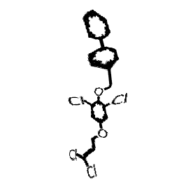 ClC(Cl)=CCOc1cc(Cl)c(OCc2ccc(-c3ccccc3)cc2)c(Cl)c1